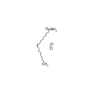 CCCCCCCC/C=C\CCCCCCCC(N)=O.ClCCl